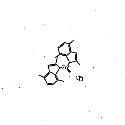 [CH2]=[Zr+2]([CH]1C(C)=Cc2c(C)ccc(C)c21)[CH]1C(C)=Cc2c(C)ccc(C)c21.[Cl-].[Cl-]